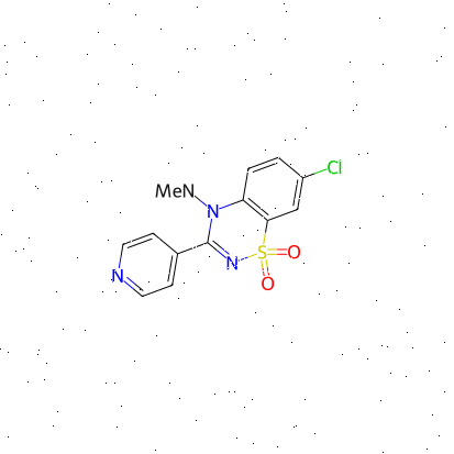 CNN1C(c2ccncc2)=NS(=O)(=O)c2cc(Cl)ccc21